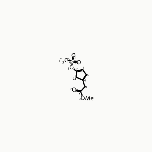 COC(=O)CC1CC=C(OS(=O)(=O)C(F)(F)F)C1